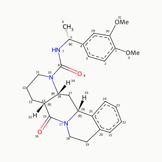 COc1ccc([C@@H](C)NC(=O)N2CCC[C@H]3C(=O)N4CCc5ccccc5[C@H]4C[C@H]32)cc1OC